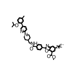 [C-]#[N+]c1cc(C(=O)OC)c2oc(-c3ccc(C(=O)NCC4CCN(c5ccc(-c6cc(C)ccc6OC(C)C)cn5)CC4)cc3)nc2c1